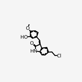 COc1ccc(C=C2C(=O)Nc3ccc(CCCl)cc32)cc1O